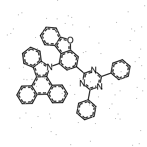 c1ccc(-c2nc(-c3ccccc3)nc(-c3cc(-n4c5ccccc5c5c6ccccc6c6ccccc6c54)c4c(c3)oc3ccccc34)n2)cc1